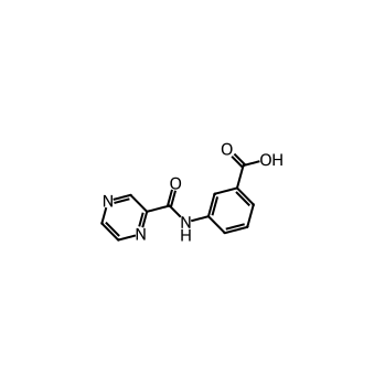 O=C(O)c1cccc(NC(=O)c2cnccn2)c1